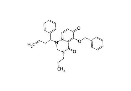 C=CCC(c1ccccc1)N1CN(CC=C)C(=O)c2c(OCc3ccccc3)c(=O)ccn21